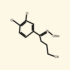 CON=C(CCCC#N)c1ccc(Cl)c(Cl)c1